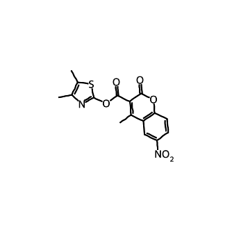 Cc1nc(OC(=O)c2c(C)c3cc([N+](=O)[O-])ccc3oc2=O)sc1C